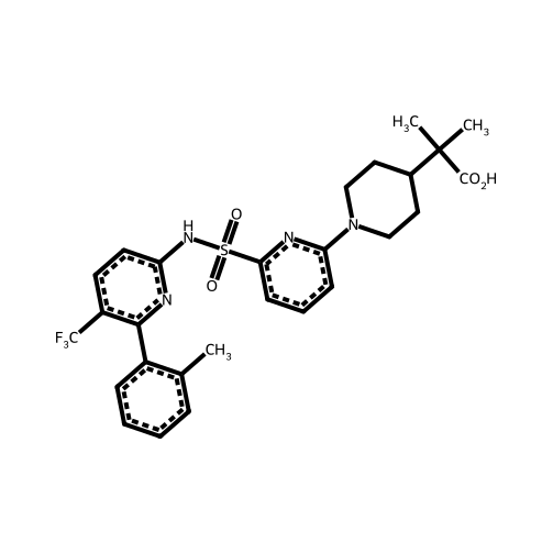 Cc1ccccc1-c1nc(NS(=O)(=O)c2cccc(N3CCC(C(C)(C)C(=O)O)CC3)n2)ccc1C(F)(F)F